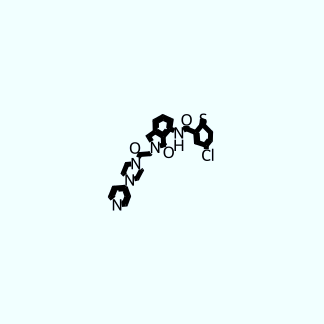 O=C(Nc1cccc2c1C(=O)N(CC(=O)N1CCN(c3ccncc3)CC1)C2)C1=CC(Cl)=CCC1=S